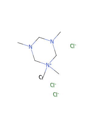 CN1CN(C)C[N+](C)([Cr])C1.[Cl-].[Cl-].[Cl-]